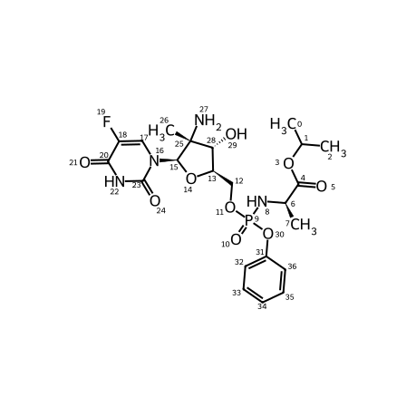 CC(C)OC(=O)[C@@H](C)NP(=O)(OC[C@H]1O[C@@H](n2cc(F)c(=O)[nH]c2=O)[C@](C)(N)[C@@H]1O)Oc1ccccc1